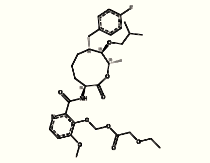 CCOCC(=O)OCOc1c(OC)ccnc1C(=O)N[C@H]1CCC[C@H](Cc2ccc(F)cc2)[C@@H](OCC(C)C)[C@H](C)OC1=O